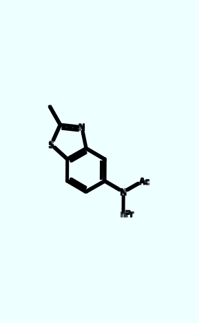 CCCN(C(C)=O)c1ccc2sc(C)nc2c1